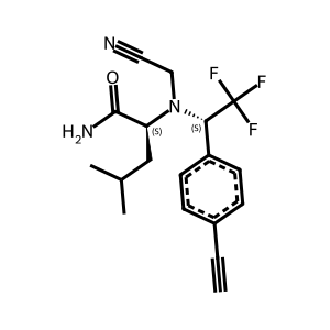 C#Cc1ccc([C@H](N(CC#N)[C@@H](CC(C)C)C(N)=O)C(F)(F)F)cc1